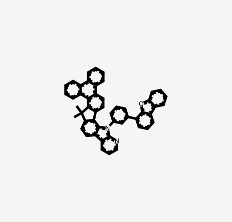 CC1(C)c2ccc3c4cccnc4n(-c4cccc(-c5cccc6c5oc5ccccc56)c4)c3c2-c2ccc3c4ccccc4c4ccccc4c3c21